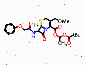 COCC1=C(C(=O)OC(C)OC(=O)C(C)(C)C)N2C(=O)C(NC(=O)COc3ccccc3)[C@H]2SC1